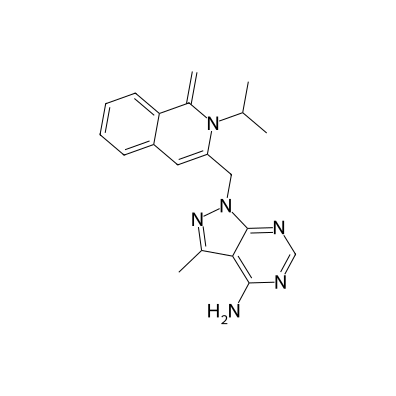 C=C1c2ccccc2C=C(Cn2nc(C)c3c(N)ncnc32)N1C(C)C